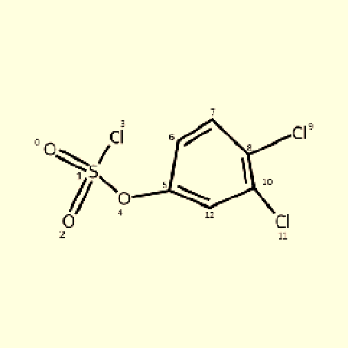 O=S(=O)(Cl)Oc1ccc(Cl)c(Cl)c1